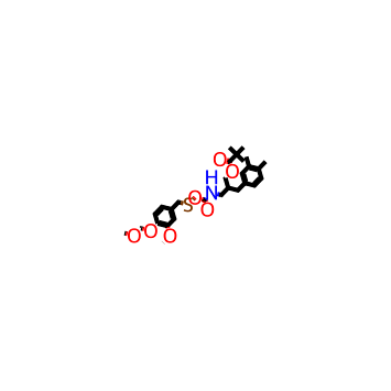 COCOc1ccc(CSOC(=O)NCC(COC(=O)C(C)(C)C)Cc2ccc(C)c(C)c2)cc1OC